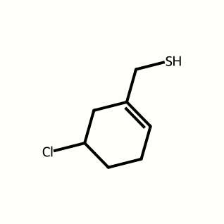 SCC1=CCCC(Cl)C1